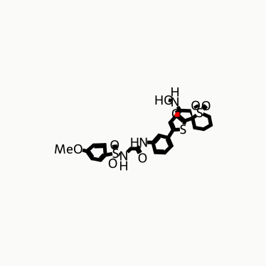 COc1ccc(S(=O)(=O)NCC(=O)Nc2cccc(-c3ccc([C@@]4(CC(=O)NO)CCCCS4(=O)=O)s3)c2)cc1